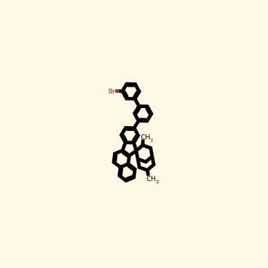 CC1CC2CC(C)C3(c4cc(-c5cccc(-c6cccc(Br)c6)c5)ccc4-c4ccc5ccccc5c43)C(C1)C2